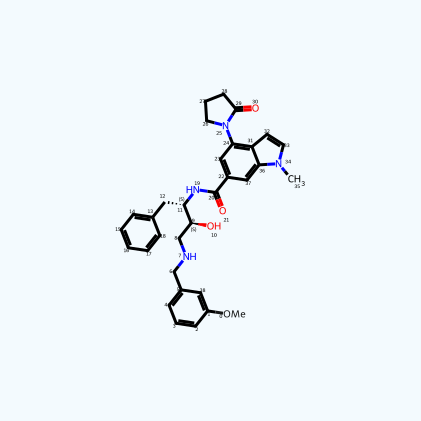 COc1cccc(CNC[C@H](O)[C@H](Cc2ccccc2)NC(=O)c2cc(N3CCCC3=O)c3ccn(C)c3c2)c1